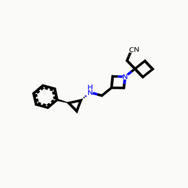 N#CCC1(N2CC(CN[C@@H]3C[C@H]3c3ccccc3)C2)CCC1